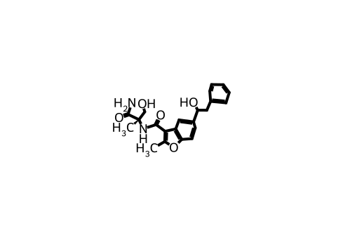 Cc1oc2ccc(C(O)Cc3ccccc3)cc2c1C(=O)N[C@@](C)(CO)C(N)=O